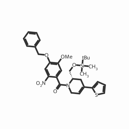 COc1cc(C(=O)N2CC=C(c3cccs3)C[C@H]2CO[Si](C)(C)C(C)(C)C)c([N+](=O)[O-])cc1OCc1ccccc1